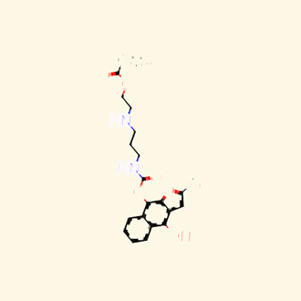 COC(=O)OCCNCCCNC(=O)Oc1c2ccccc2c(O)c2cc(C(C)=O)oc12